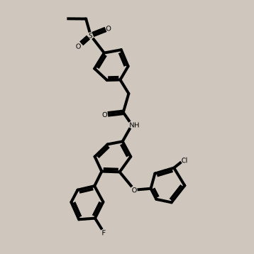 CCS(=O)(=O)c1ccc(CC(=O)Nc2ccc(-c3cccc(F)c3)c(Oc3cccc(Cl)c3)c2)cc1